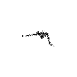 CCCCCCCCCCCc1csc2c1sc1c2[nH]c2c3[nH]c4c5scc(CCCCCCCCCCC)c5sc4c3c3nsnc3c21